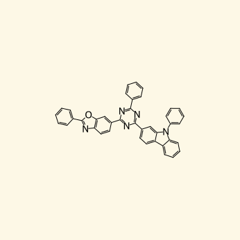 c1ccc(-c2nc(-c3ccc4nc(-c5ccccc5)oc4c3)nc(-c3ccc4c5ccccc5n(-c5ccccc5)c4c3)n2)cc1